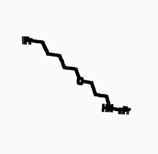 CCCNCCCOCCCCCC(C)C